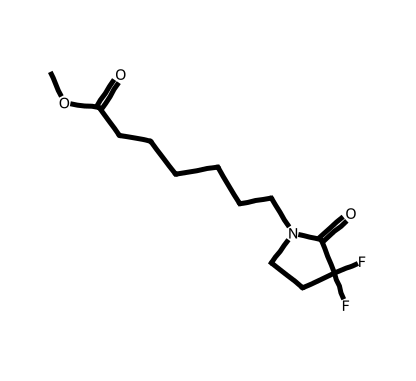 COC(=O)CCCCCCN1CCC(F)(F)C1=O